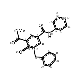 CNC(=O)c1cc(C(=O)Nc2ccnnc2)cn(Cc2ccccc2)c1=O